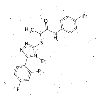 CCn1c(SC(C)C(=O)Nc2ccc(C(C)C)cc2)nnc1-c1ccc(F)cc1F